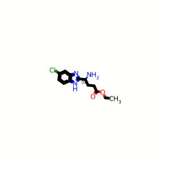 CCOC(=O)CC[C@H](N)c1nc2cc(Cl)ccc2[nH]1